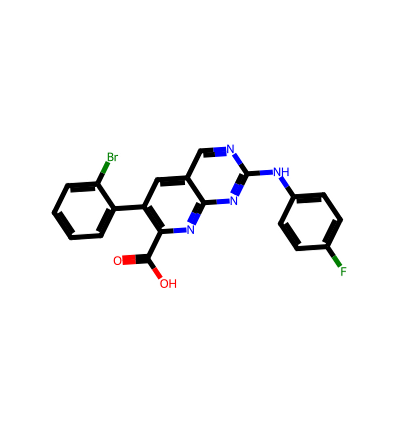 O=C(O)c1nc2nc(Nc3ccc(F)cc3)ncc2cc1-c1ccccc1Br